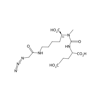 CN(C(=O)NC(CCC(=O)O)C(=O)O)[C@@H](CCCCNC(=O)CN=[N+]=[N-])C(=O)O